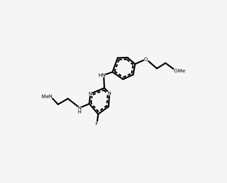 CNCCNc1nc(Nc2ccc(OCCOC)cc2)ncc1F